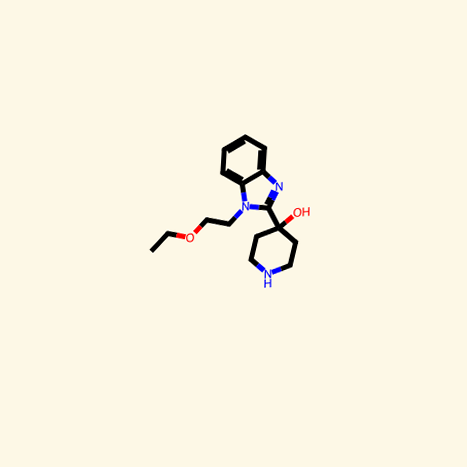 CCOCCn1c(C2(O)CCNCC2)nc2ccccc21